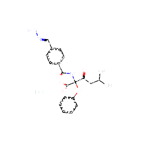 CC(C)CC(=O)C(NC(=O)c1ccc(C=NN)cc1)(Oc1ccccc1)C(=O)O.Cl